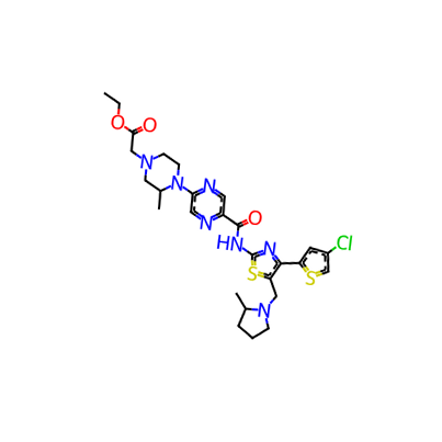 CCOC(=O)CN1CCN(c2cnc(C(=O)Nc3nc(-c4cc(Cl)cs4)c(CN4CCCC4C)s3)cn2)C(C)C1